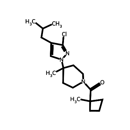 CC(C)Cc1cn(C2(C)CCN(C(=O)C3(C)CCC3)CC2)nc1Cl